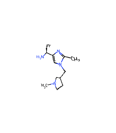 Cc1nc([C@@H](N)C(C)C)cn1CC1CCN(C)C1